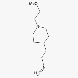 C=NCCC1CCN(CCOC)CC1